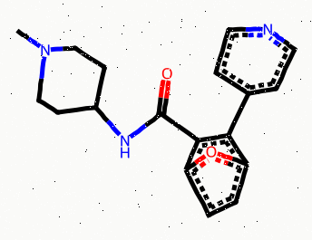 CN1CCC(NC(=O)c2c(-c3ccncc3)c3ccc2o3)CC1